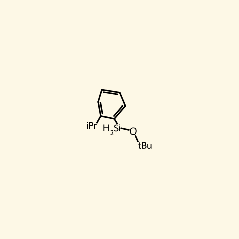 CC(C)c1ccccc1[SiH2]OC(C)(C)C